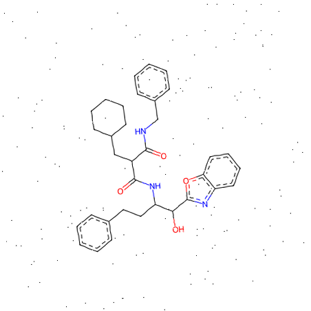 O=C(NCc1ccccc1)C(CC1CCCCC1)C(=O)NC(CCc1ccccc1)C(O)c1nc2ccccc2o1